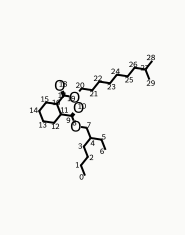 CCCCC(CC)COC(=O)C1CCCCC1C(=O)OCCCCCCCC(C)C